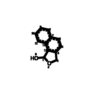 OC1OCc2ccc3ccccc3c21